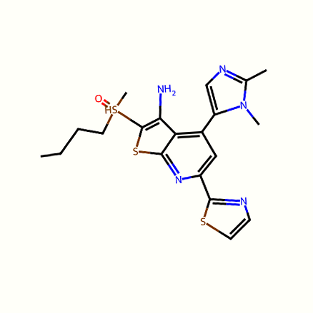 CCCC[SH](C)(=O)c1sc2nc(-c3nccs3)cc(-c3cnc(C)n3C)c2c1N